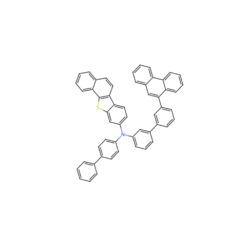 c1ccc(-c2ccc(N(c3cccc(-c4cccc(-c5cc6ccccc6c6ccccc56)c4)c3)c3ccc4c(c3)sc3c5ccccc5ccc43)cc2)cc1